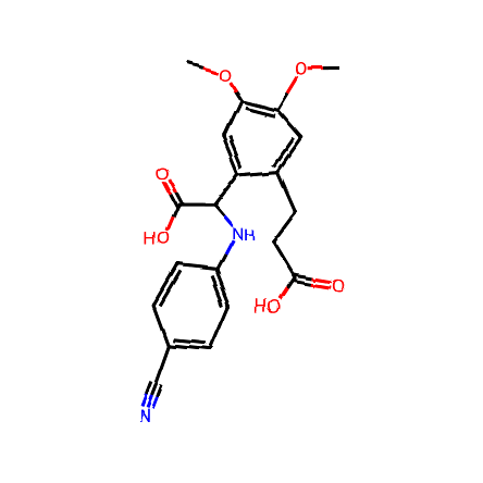 COc1cc(CCC(=O)O)c(C(Nc2ccc(C#N)cc2)C(=O)O)cc1OC